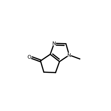 Cn1cnc2c1CCC2=O